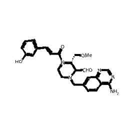 COC[C@@H]1C(C=O)N(Cc2ccc3c(N)ncnc3c2)CCN1C(=O)/C=C/c1cccc(O)c1